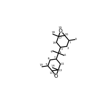 CC1CC(C(C)(C)C2CC(C)C3OC3(C)C2)CC2(C)OC12